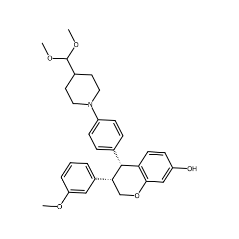 COc1cccc([C@H]2COc3cc(O)ccc3[C@H]2c2ccc(N3CCC(C(OC)OC)CC3)cc2)c1